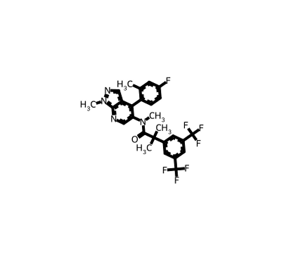 Cc1cc(F)ccc1-c1c(N(C)C(=O)C(C)(C)c2cc(C(F)(F)F)cc(C(F)(F)F)c2)cnc2c1cnn2C